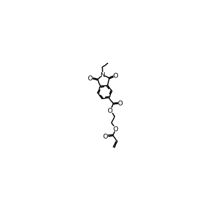 C=CC(=O)OCCOC(=O)c1ccc2c(c1)C(=O)N(CC)C2=O